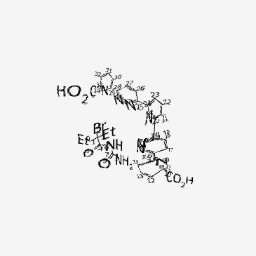 CCC(Br)(CC)C(=O)NC(N)=O.O=C(O)c1cccc(-c2ccc(-c3cccc(-c4ccc(-c5cccc(C(=O)O)n5)nn4)n3)nn2)n1